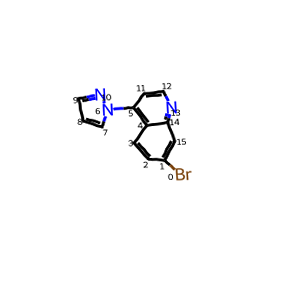 Brc1ccc2c(-n3cccn3)ccnc2c1